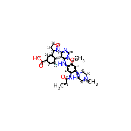 C=CC(=O)Nc1cc(Nc2cc(N3OCCC3c3cc(F)cc(C(=O)O)c3)ncn2)c(OC)cc1N1CCN(C)CC1